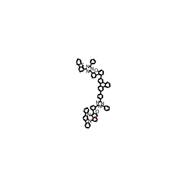 c1ccc(-c2nc(-c3ccc(-c4ccc5c6ccc(-c7cccc8oc9c(-c%10nc(-c%11ccccc%11)nc(-c%11cccc%12c%11sc%11ccccc%11%12)n%10)cccc9c78)cc6c6ccccc6c5c4)cc3)nc(-c3cccc4c3oc3cccc(-n5c6ccccc6c6ccc7c8ccccc8n(-c8ccccc8)c7c65)c34)n2)cc1